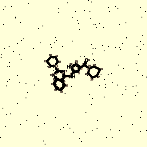 O=C(c1cc(Nc2nc(N3CCCCC3)nc3ccccc23)[nH]n1)N1CCCCC1